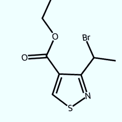 CCOC(=O)c1csnc1C(C)Br